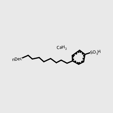 CCCCCCCCCCCCCCCCCCc1ccc(S(=O)(=O)O)cc1.[CaH2]